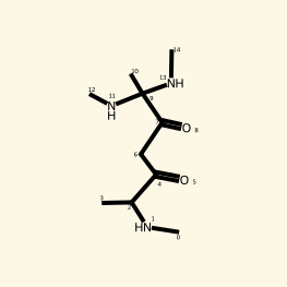 CNC(C)C(=O)CC(=O)C(C)(NC)NC